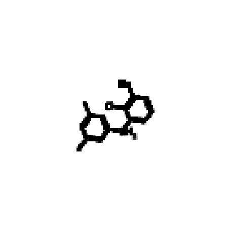 CCC(C)c1cccc([SiH2]c2cc(C)cc(C)c2)c1Cl